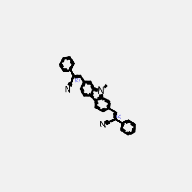 Cn1c2cc(/C=C(\C#N)c3ccccc3)ccc2c2ccc(/C=C(\C#N)c3ccccc3)cc21